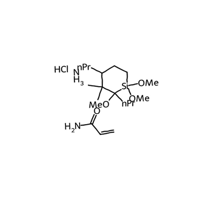 C=CC(N)=O.CCCC1CC[Si](OC)(OC)C(CCC)(OC)C1(C)C.Cl.N